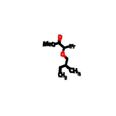 C=CC(C)COC(C(=O)OC)C(C)C